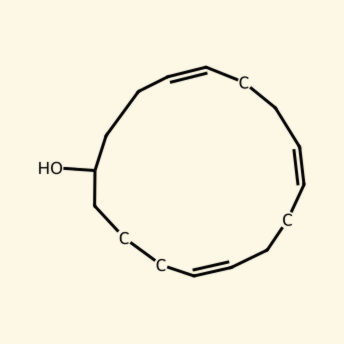 OC1CCC=CCCC=CCCC=CCCC1